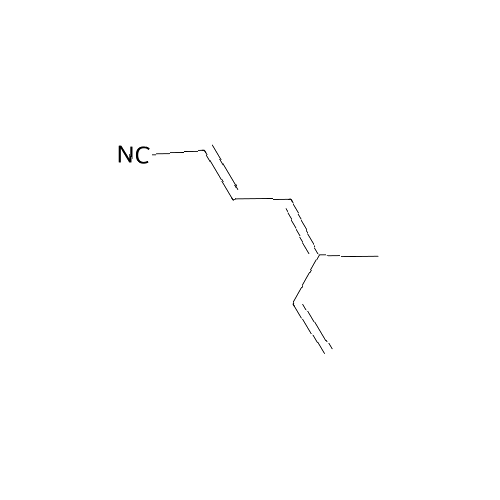 C=CC(C)=CC=CC#N